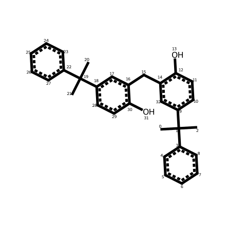 CC(C)(c1ccccc1)c1ccc(O)c(Cc2cc(C(C)(C)c3ccccc3)ccc2O)c1